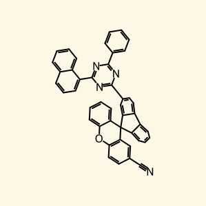 N#Cc1ccc2c(c1)C1(c3ccccc3O2)c2ccccc2-c2ccc(-c3nc(-c4ccccc4)nc(-c4cccc5ccccc45)n3)cc21